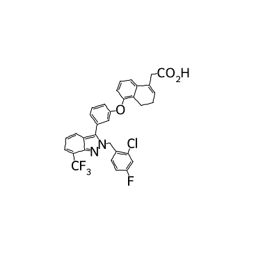 O=C(O)CC1=CCCc2c(Oc3cccc(-c4c5cccc(C(F)(F)F)c5nn4Cc4ccc(F)cc4Cl)c3)cccc21